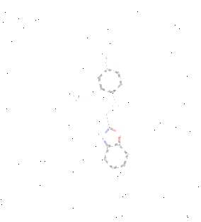 COc1cc(N)ccc1OCc1nc2ccccc2o1